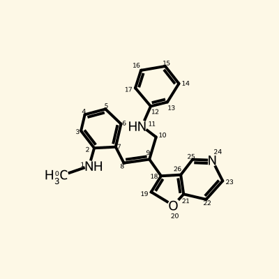 CNc1ccccc1/C=C(\CNc1ccccc1)c1coc2ccncc12